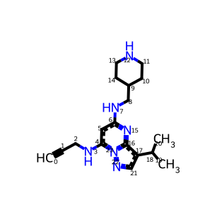 C#CCNc1cc(NCC2CCNCC2)nc2c(C(C)C)cnn12